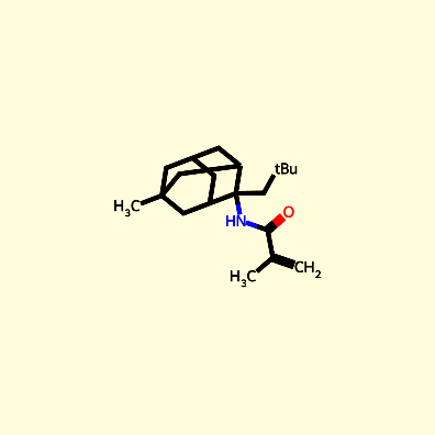 C=C(C)C(=O)NC1(CC(C)(C)C)C2CC3CC1CC(C)(C3)C2